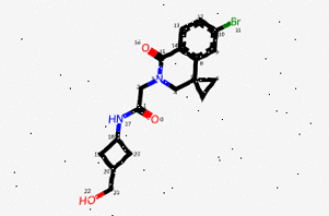 O=C(CN1CC2(CC2)c2cc(Br)ccc2C1=O)NC1CC(CO)C1